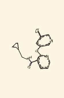 O=C(NCC1CC1)c1cccnc1Oc1cncc(Cl)c1